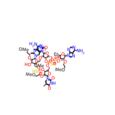 C=C1N=C(N)C(C)=CN1[C@@H]1O[C@H](COP(=O)(S)OC2[C@@H](COP(=O)(S)OC3[C@@H](COP(=O)(O)OC4[C@@H](CC)O[C@@H](n5cnc6c(N)ncnc65)[C@H]4OCCOC)O[C@@H](n4cc(C)c(N)nc4=O)[C@H]3OCCOC)O[C@@H](n3cc(C)c(=O)[nH]c3=O)[C@H]2OCCOC)C(O)[C@@H]1OCCOC